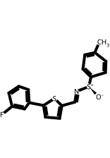 Cc1ccc([S@@+]([O-])/N=C/c2ccc(-c3cccc(F)c3)s2)cc1